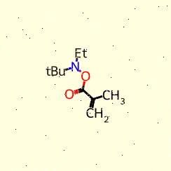 C=C(C)C(=O)ON(CC)C(C)(C)C